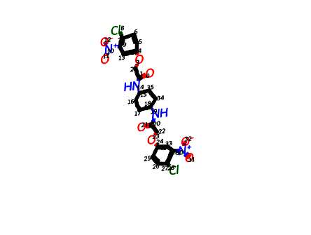 O=C(COc1ccc(Cl)c([N+](=O)[O-])c1)N[C@H]1CC[C@H](NC(=O)COc2ccc(Cl)c([N+](=O)[O-])c2)CC1